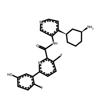 N[C@H]1CCC[C@@H](c2ccncc2NC(=O)c2nc(-c3cc(O)ccc3F)ccc2F)C1